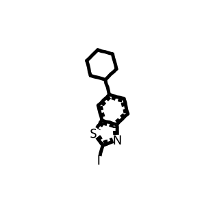 Ic1nc2ccc(C3CCCCC3)cc2s1